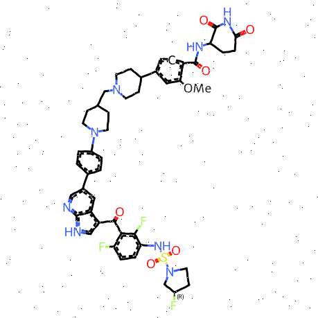 COc1cc(C2CCN(CC3CCN(c4ccc(-c5cnc6[nH]cc(C(=O)c7c(F)ccc(NS(=O)(=O)N8CC[C@@H](F)C8)c7F)c6c5)cc4)CC3)CC2)ccc1C(=O)NC1CCC(=O)NC1=O